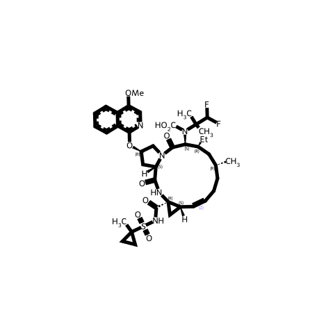 CC[C@@H]1C[C@H](C)CC/C=C\[C@@H]2C[C@@]2(C(=O)NS(=O)(=O)C2(C)CC2)NC(=O)[C@@H]2C[C@@H](Oc3ncc(OC)c4ccccc34)CN2C(=O)[C@H]1N(C(=O)O)C(C)(C)C(F)F